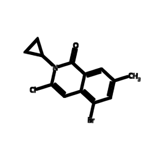 Cc1cc(Br)c2cc(Cl)n(C3CC3)c(=O)c2c1